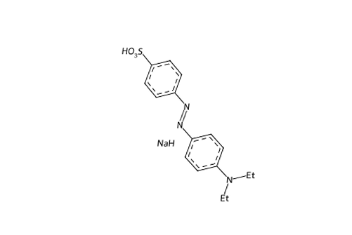 CCN(CC)c1ccc(N=Nc2ccc(S(=O)(=O)O)cc2)cc1.[NaH]